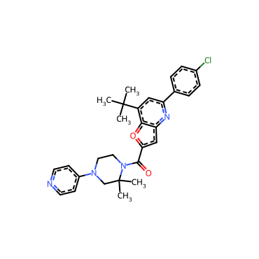 CC(C)(C)c1cc(-c2ccc(Cl)cc2)nc2cc(C(=O)N3CCN(c4ccncc4)CC3(C)C)oc12